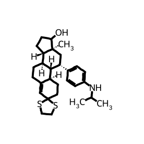 CC(C)Nc1ccc([C@H]2C[C@]3(C)C(O)CC[C@H]3[C@@H]3CCC4=CC5(CC[C@@H]4[C@H]32)SCCS5)cc1